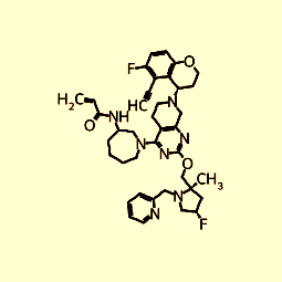 C#Cc1c(F)ccc2c1[C@H](N1CCc3c(nc(OC[C@]4(C)C[C@@H](F)CN4Cc4ccccn4)nc3N3CCCCC(NC(=O)C=C)C3)C1)CCO2